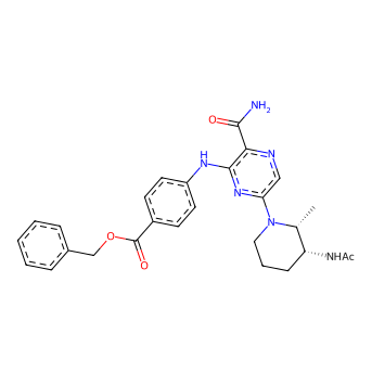 CC(=O)N[C@@H]1CCCN(c2cnc(C(N)=O)c(Nc3ccc(C(=O)OCc4ccccc4)cc3)n2)[C@@H]1C